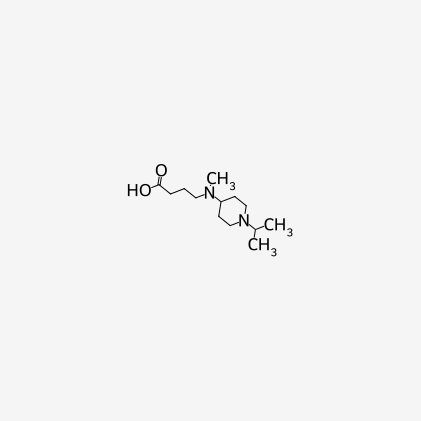 CC(C)N1CCC(N(C)CCCC(=O)O)CC1